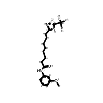 COc1cccc(NC(=O)CCCCCCCc2noc(C(F)(F)F)n2)c1